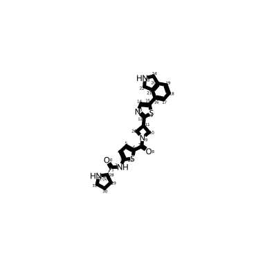 O=C(Nc1ccc(C(=O)N2CC(c3ncc(-c4cccc5c4CNC5)s3)C2)s1)[C@@H]1CCCN1